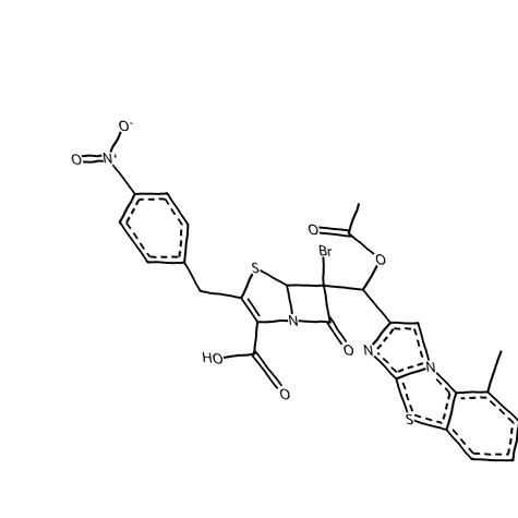 CC(=O)OC(c1cn2c(n1)sc1cccc(C)c12)C1(Br)C(=O)N2C(C(=O)O)=C(Cc3ccc([N+](=O)[O-])cc3)SC21